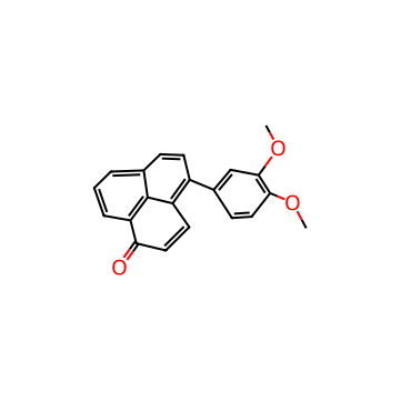 COc1ccc(-c2ccc3cccc4c3c2C=CC4=O)cc1OC